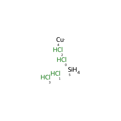 Cl.Cl.Cl.Cl.[Cu].[SiH4]